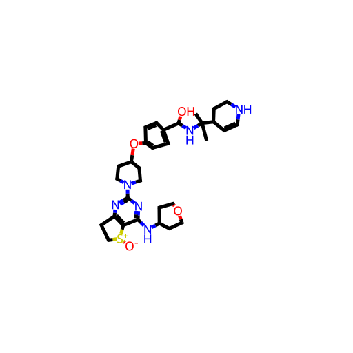 CC(C)(NC(O)c1ccc(OC2CCN(c3nc4c(c(NC5CCOCC5)n3)[S+]([O-])CC4)CC2)cc1)C1C=CNCC1